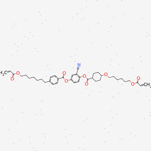 C=CC(=O)OCCCCCCCc1ccc(C(=O)Oc2ccc(OC(=O)C3CCC(OCCCCCCOC(=O)C=C)CC3)c(C#N)c2)cc1